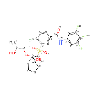 C[C@@H](O)COCC1(O)C2CCC1CC(S(=O)(=O)c1cc(C(=O)Nc3cc(F)c(F)c(F)c3)ccc1Cl)C2